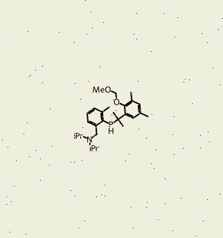 COCOc1c(C)cc(C)cc1C(C)(C)Pc1c(C)cccc1CN(C(C)C)C(C)C